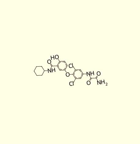 NC(=O)C(=O)Nc1cc(Cl)c(Oc2ccc(O)c(C(=O)NC3CCCCC3)c2)c(Cl)c1